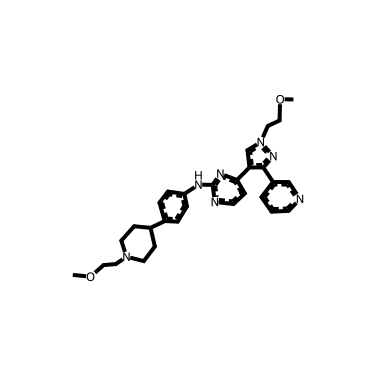 COCCN1CCC(c2ccc(Nc3nccc(-c4cn(CCOC)nc4-c4cccnc4)n3)cc2)CC1